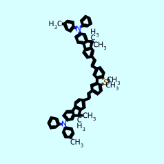 Cc1ccc(N(c2ccccc2)c2ccc3c(c2)C(C)(C)c2cc(/C=C/c4ccc5c(c4)-c4cc(/C=C/c6ccc7c(c6)C(C)(C)c6cc(N(c8ccccc8)c8ccc(C)cc8)ccc6-7)ccc4S5(C)C)ccc2-3)cc1